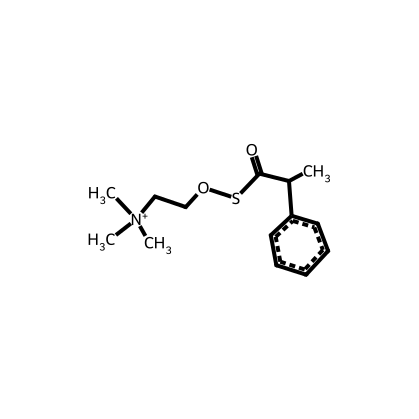 CC(C(=O)SOCC[N+](C)(C)C)c1ccccc1